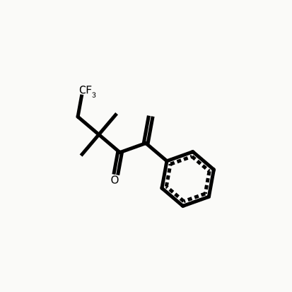 C=C(C(=O)C(C)(C)CC(F)(F)F)c1ccccc1